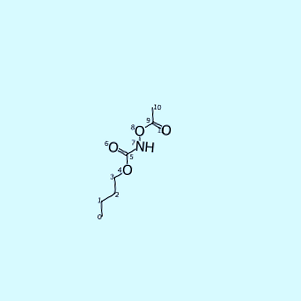 CCCCOC(=O)NOC(C)=O